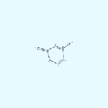 O=C1C=C(F)[C]=CC1